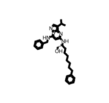 CC(C)c1cnn2c(NCc3ccccc3)cc(N[C@@H](CO)CCCCCCCc3ccccc3)nc12